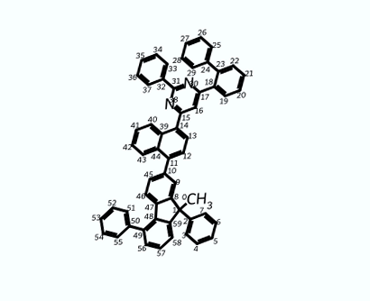 CC1(c2ccccc2)c2cc(-c3ccc(-c4cc(-c5ccccc5-c5ccccc5)nc(-c5ccccc5)n4)c4ccccc34)ccc2-c2c(-c3ccccc3)cccc21